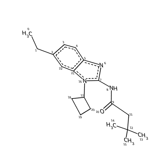 CCc1ccc2nc(NC(=O)CC(C)(C)C)n(C3CCC3)c2c1